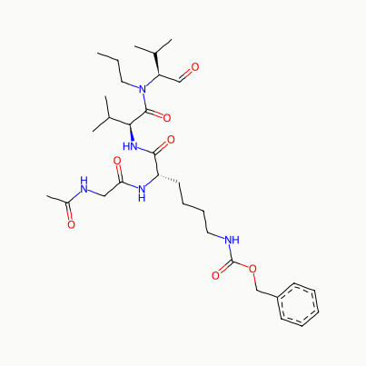 CCCN(C(=O)[C@@H](NC(=O)[C@H](CCCCNC(=O)OCc1ccccc1)NC(=O)CNC(C)=O)C(C)C)[C@H](C=O)C(C)C